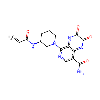 C=CC(=O)N[C@H]1CCCN(c2ncc(C(N)=O)c3c2=NC(=O)C(=O)N=3)C1